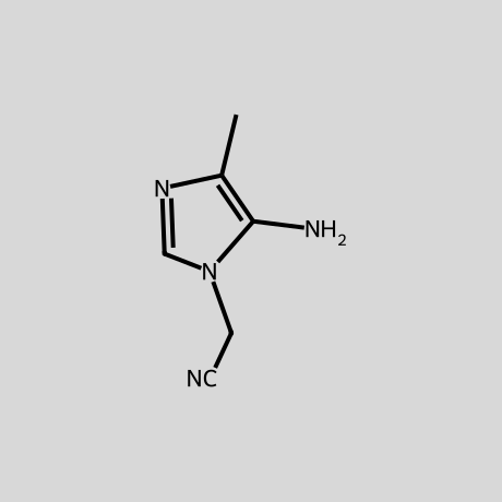 Cc1ncn(CC#N)c1N